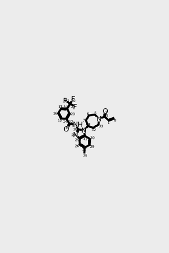 C=CC(=O)N1CCCC(n2c(NC(=O)c3cccc(C(F)(F)F)c3)nc3cc(C)ccc32)CC1